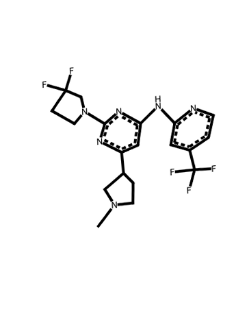 CN1CCC(c2cc(Nc3cc(C(F)(F)F)ccn3)nc(N3CCC(F)(F)C3)n2)C1